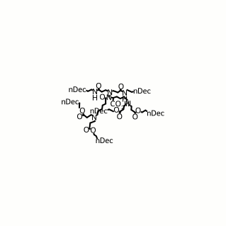 CCCCCCCCCCCCNC(=O)CCN(CCC(=O)NCCCCCCCCCCCC)N(C(=O)CCCCCN(CCC(=O)OCCCCCCCCCCCC)CCC(=O)OCCCCCCCCCCCC)C(CCCCN(CCC(=O)OCCCCCCCCCCCC)CCC(=O)OCCCCCCCCCCCC)C(=O)O